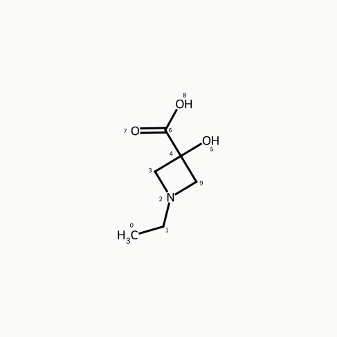 CCN1CC(O)(C(=O)O)C1